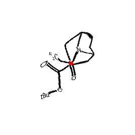 CC(C)(C)OC(=O)N1CC2CC(C1)N2C(=O)C(F)(F)F